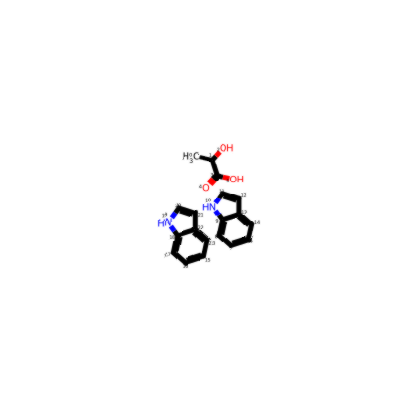 CC(O)C(=O)O.c1ccc2[nH]ccc2c1.c1ccc2[nH]ccc2c1